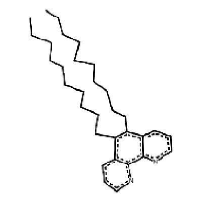 CCCCCCCCCCc1c(CCCCCCCCCC)c2cccnc2c2ncccc12